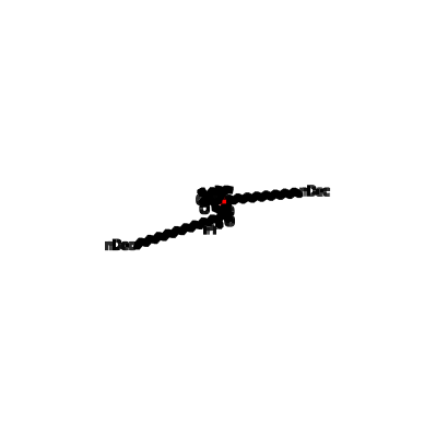 C=C1OC(=O)C(C(CCCCCCCCCCCCCCCCCCCCCCCCCCCC)CC2C(=O)OC(=O)C2C(CCCCCCCCCCCCCCCCCCCCCCCCCCCC)CC(C)C)C1CC(C)(C=CC)CC